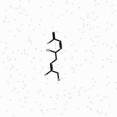 C=C(F)/C=C\C(S)C/C=C(/F)CBr